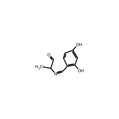 CC(C=O)/N=C\c1ccc(O)cc1O